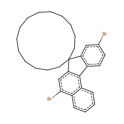 Brc1ccc2c(c1)C1(CCCCCCCCCCCCCC1)c1cc(Br)c3ccccc3c1-2